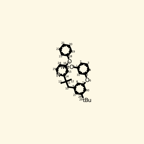 COc1cccc(Oc2cc(CC(C)(C)c3cc(Oc4ccccc4)ccn3)cc(C(C)(C)C)c2)c1